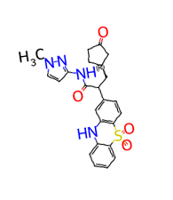 Cn1ccc(NC(=O)C(C[C@H]2CCC(=O)C2)c2ccc3c(c2)Nc2ccccc2S3(=O)=O)n1